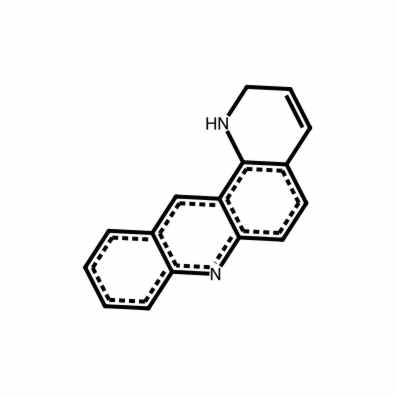 C1=Cc2ccc3nc4ccccc4cc3c2NC1